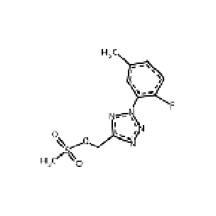 Cc1ccc(F)c(-n2nnc(COS(C)(=O)=O)n2)c1